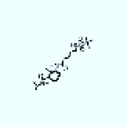 Cc1c(NC(=O)CCCCNS(=O)(=O)C(C)(C)C)cccc1C(=O)NC(C)C